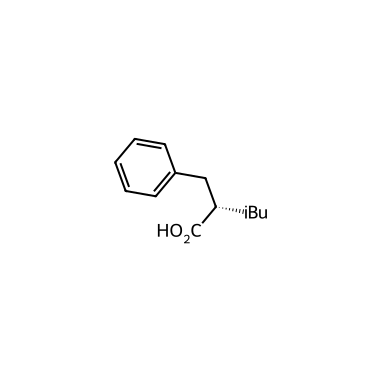 CCC(C)[C@@H](Cc1ccccc1)C(=O)O